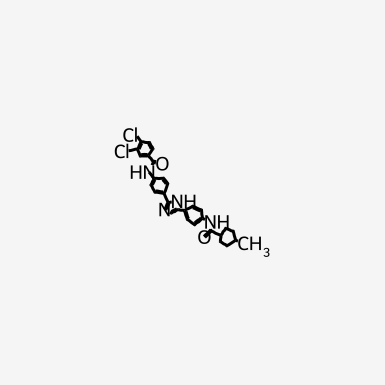 CC1CCC(C(=O)Nc2ccc(-c3cnc(-c4ccc(NC(=O)c5ccc(Cl)c(Cl)c5)cc4)[nH]3)cc2)CC1